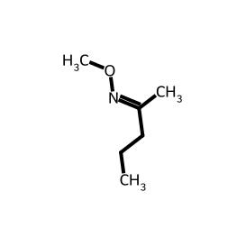 CCCC(C)=NOC